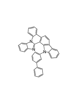 c1ccc(-c2cccc(-n3c4ccccc4c4ccc5c6ccccc6n6c7ccccc7nc6c5c43)c2)cc1